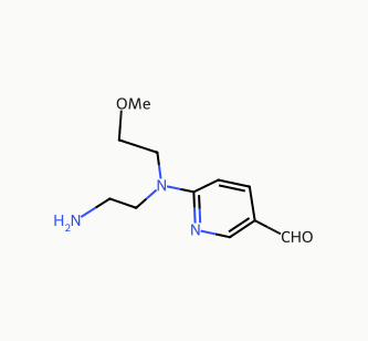 COCCN(CCN)c1ccc(C=O)cn1